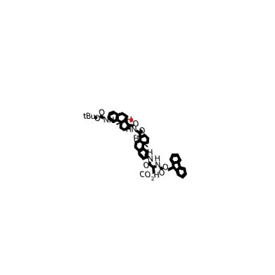 CC(C)(C)OC(=O)Nc1ccc2c(c1)[C@@]1(C)CCC[C@](C)(C(=O)NC(=O)[C@@]3(C)CCC[C@]4(C)c5cc(NC(=O)C(CC(=O)O)NC(=O)OCC6c7ccccc7-c7ccccc76)ccc5CC[C@@H]34)[C@@H]1CC2